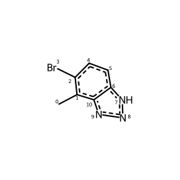 Cc1c(Br)ccc2[nH]nnc12